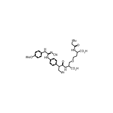 COc1ccc(NC(=NC#N)Nc2ccc(C(CC(C)C)C(=O)NC(COCCC(NC(=O)CC(C)(C)C)C(=O)O)C(=O)O)cc2)cc1